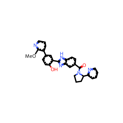 COc1ncccc1-c1ccc(O)c(-c2nc3cc(C(=O)N4CCCC4c4ccccn4)ccc3[nH]2)c1